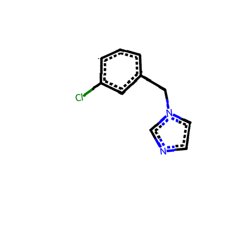 Clc1[c]ccc(Cn2ccnc2)c1